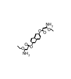 CCO/C(N)=C\C(=O)Oc1ccc2cc(OC(=O)/C=C(/N)OCC)ccc2c1